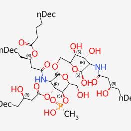 CCCCCCCCCCCCCC(=O)O[C@H](CCCCCCCCCCC)CC(=O)NC1[C@H](OCC2O[C@H](O)C(NC(=O)C[C@H](O)CCCCCCCCCCC)[C@@H](O)[C@@H]2O)OC(CO)[C@@H](OP(C)(=O)O)[C@@H]1OC(=O)C[C@H](O)CCCCCCCCCCC